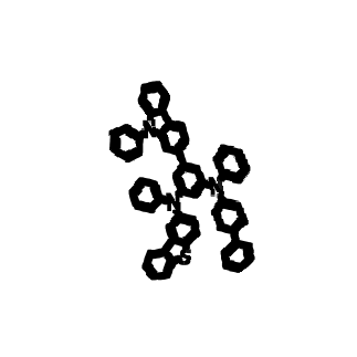 C1=C(c2ccccc2)CCC(N(c2ccccc2)c2cc(-c3ccc4c5ccccc5n(-c5ccccc5)c4c3)cc(N(c3ccccc3)c3ccc4sc5ccccc5c4c3)c2)=C1